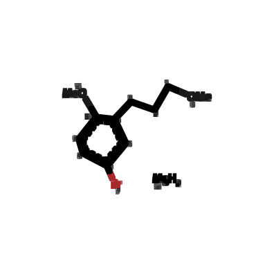 COCCCc1cc(Br)ccc1OC.[MgH2]